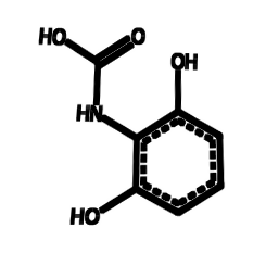 O=C(O)Nc1c(O)cccc1O